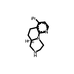 CC(C)c1ccnc2c1CC[C@@H]1CNCCN21